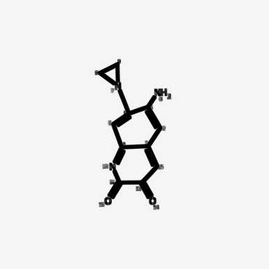 Nc1cc2c(cc1N1CC1)=NC(=O)C(=O)C=2